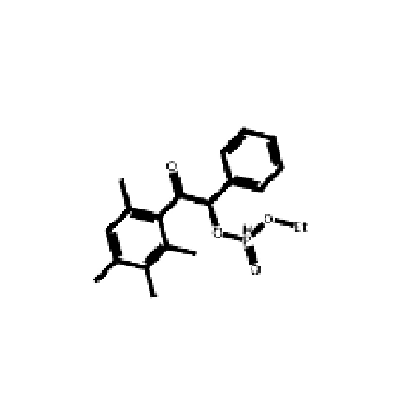 CCO[PH](=O)OC(C(=O)c1c(C)cc(C)c(C)c1C)c1ccccc1